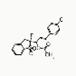 CC(=O)OC(/C=C/c1ccc(Cl)cc1)C1(F)Cc2ccccc2S1(=O)=O